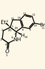 CC[C@]12CCC(=O)N[C@H]1c1cc(Br)ccc1C2